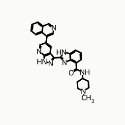 CN1CCC(NC(=O)c2cccc3[nH]c(-c4n[nH]c5ncc(-c6cncc7ccccc67)cc45)nc23)CC1